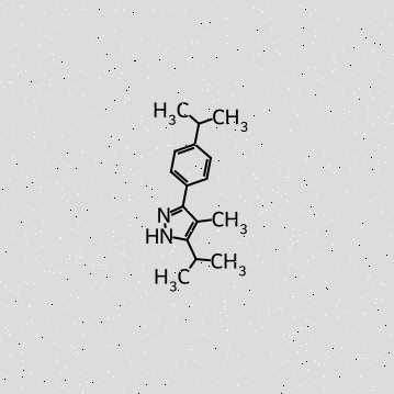 Cc1c(-c2ccc(C(C)C)cc2)n[nH]c1C(C)C